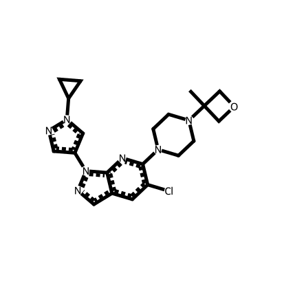 CC1(N2CCN(c3nc4c(cnn4-c4cnn(C5CC5)c4)cc3Cl)CC2)COC1